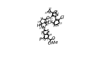 COC(=O)c1cc(F)c2nc(N3C[C@@H]4CCC(OCc5c(-c6c(Cl)cccc6Cl)noc5C5CC5)[C@@H]4C3)sc2c1